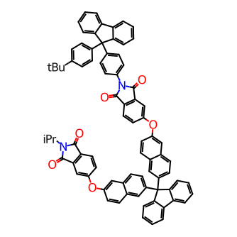 CC(C)N1C(=O)c2ccc(Oc3ccc4cc(C5(c6ccc7cc(Oc8ccc9c(c8)C(=O)N(c8ccc(C%10(c%11ccc(C(C)(C)C)cc%11)c%11ccccc%11-c%11ccccc%11%10)cc8)C9=O)ccc7c6)c6ccccc6-c6ccccc65)ccc4c3)cc2C1=O